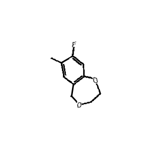 Cc1cc2c(cc1F)OCCOC2